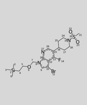 C[Si](C)(C)CCOCn1cc(Br)c2c(F)c(C3CCN(S(C)(=O)=O)CC3)cnc21